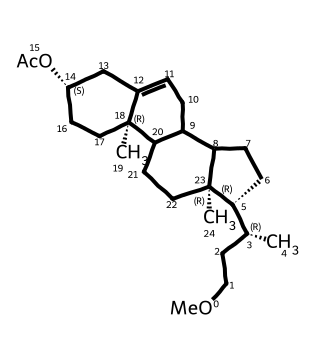 COCC[C@@H](C)[C@H]1CCC2C3CC=C4C[C@@H](OC(C)=O)CC[C@]4(C)C3CC[C@@]21C